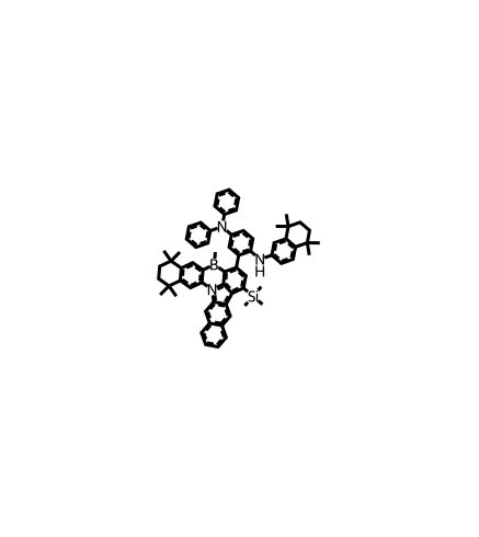 CB1c2cc3c(cc2-n2c4cc5ccccc5cc4c4c([Si](C)(C)C)cc(-c5cc(N(c6ccccc6)c6ccccc6)ccc5Nc5ccc6c(c5)C(C)(C)CCC6(C)C)c1c42)C(C)(C)CCC3(C)C